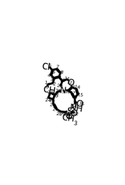 CCCc1cc(Cl)ccc1C1COc2ccc3cc2N(C1)CC1CCC1/C=C\C[C@@H](C)S(=O)(=O)NC3=O